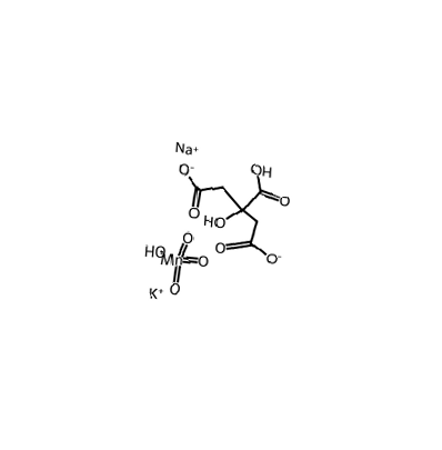 O=C([O-])CC(O)(CC(=O)[O-])C(=O)O.[K+].[Na+].[O]=[Mn](=[O])(=[O])[OH]